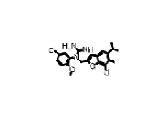 COc1ccc(Cl)cc1N(Cc1cc2cc(C(C)C)c(C)c(Cl)c2o1)C(=N)N